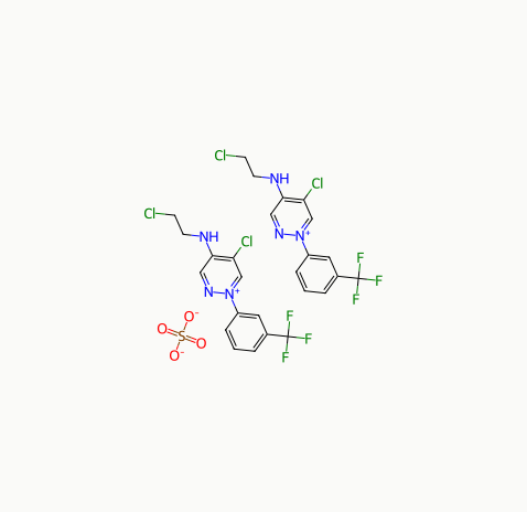 FC(F)(F)c1cccc(-[n+]2cc(Cl)c(NCCCl)cn2)c1.FC(F)(F)c1cccc(-[n+]2cc(Cl)c(NCCCl)cn2)c1.O=S(=O)([O-])[O-]